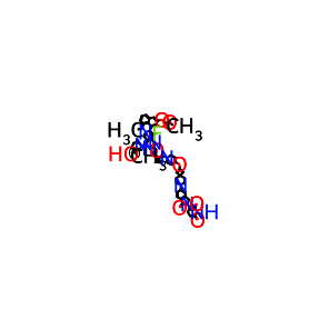 CCc1cccc2cc(OCOC)cc(-c3ncc4c(N5CCC[C@@](C)(O)C5)nc(OCC5(CN6CCC(OC7CC8(CCN(c9ccc%10c(c9)CN(C9CCC(=O)NC9=O)C%10=O)CC8)C7)CC6)CC5)nc4c3F)c12